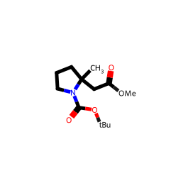 COC(=O)CC1(C)CCCN1C(=O)OC(C)(C)C